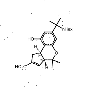 CCCCCCC(C)(C)c1cc(O)c2c(c1)OC(C)(C)[C@@H]1C=C(C(=O)O)C[C@@H]21